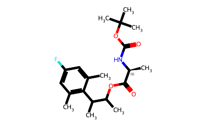 Cc1cc(F)cc(C)c1C(C)C(C)OC(=O)[C@H](C)NC(=O)OC(C)(C)C